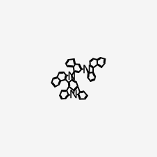 c1ccc2c(-n3c4ccc5ccccc5c4c4c5c6ccccc6n6c7ccccc7c(cc43)c56)cc(-n3c4ccccc4c4c5ccccc5ccc43)cc2c1